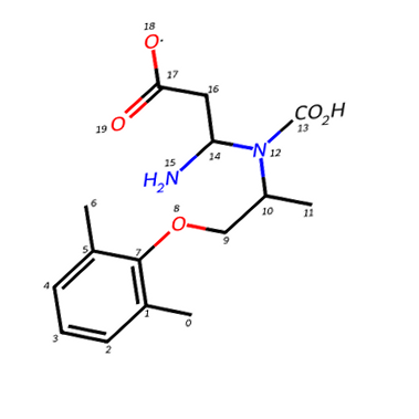 Cc1cccc(C)c1OCC(C)N(C(=O)O)C(N)CC([O])=O